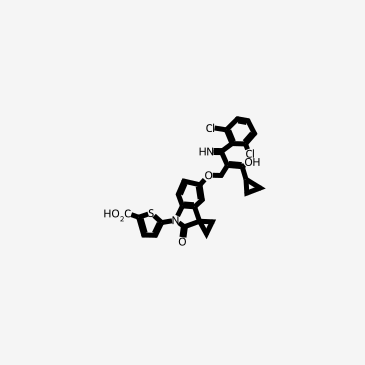 N=C(/C(COc1ccc2c(c1)C1(CC1)C(=O)N2c1ccc(C(=O)O)s1)=C(\O)C1CC1)c1c(Cl)cccc1Cl